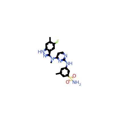 Cc1cc(Nc2nccc(N(C)c3n[nH]c4cc(C)c(F)cc34)n2)cc(S(N)(=O)=O)c1